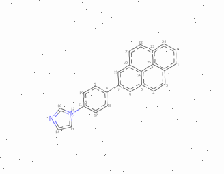 c1cc2ccc3cc(-c4ccc(-n5ccnc5)cc4)cc4ccc(c1)c2c34